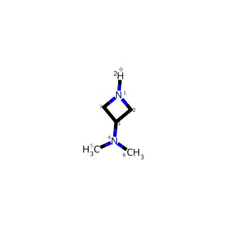 [2H]N1CC(N(C)C)C1